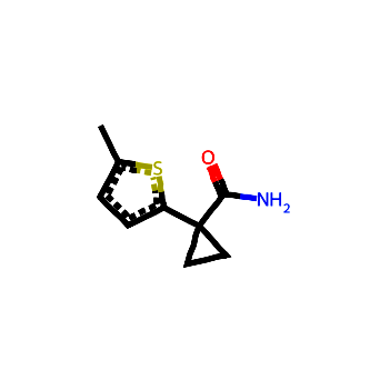 Cc1ccc(C2(C(N)=O)CC2)s1